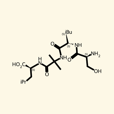 CC[C@H](C)[C@H](NC(=O)[C@@H](N)CO)C(=O)NC(C)(C)C(=O)N[C@@H](CC(C)C)C(=O)O